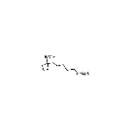 CCCCCCCCCCCCC1([N]C)CCC1